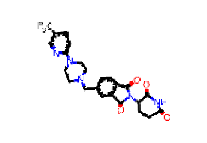 O=C1CCC(N2C(=O)c3ccc(CN4CCN(c5ccc(C(F)(F)F)cn5)CC4)cc3C2=O)C(=O)N1